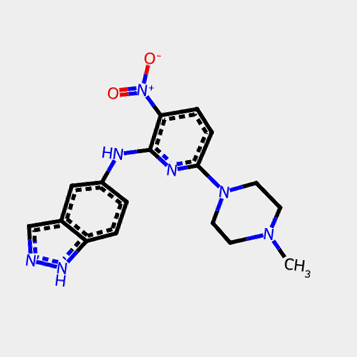 CN1CCN(c2ccc([N+](=O)[O-])c(Nc3ccc4[nH]ncc4c3)n2)CC1